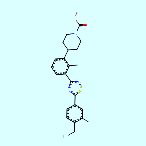 CCc1c(-c2nsc(-c3ccc(CC(C)C)c(C#N)c3)n2)cccc1C1CCN(C(=O)OC(C)(C)C)CC1